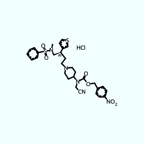 CN(C[C@H](CCN1CCC(N(CC#N)C(=O)OCc2ccc([N+](=O)[O-])cc2)CC1)c1ccsc1)S(=O)(=O)c1ccccc1.Cl